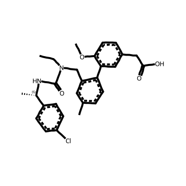 CCN(Cc1cc(C)ccc1-c1cc(CC(=O)O)ccc1OC)C(=O)N[C@@H](C)c1ccc(Cl)cc1